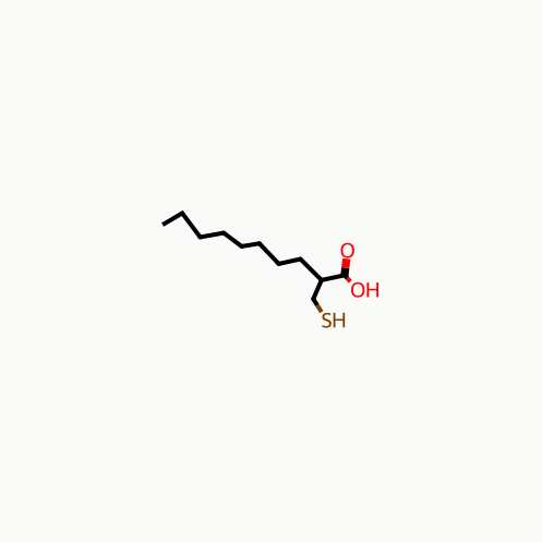 CCCCCCCCC(CS)C(=O)O